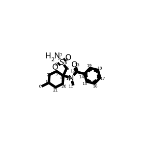 CC1CCC(CS(N)(=O)=O)(N(C)C(=O)c2ccccc2)CC1